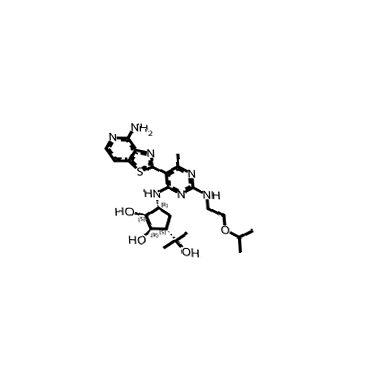 Cc1nc(NCCOC(C)C)nc(N[C@@H]2C[C@H](C(C)(C)O)[C@@H](O)[C@H]2O)c1-c1nc2c(N)nccc2s1